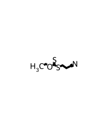 CCOC(=S)SCCC#N